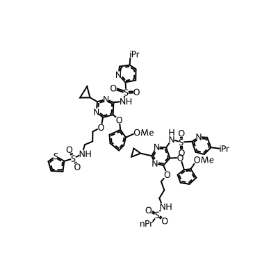 CCCS(=O)(=O)NCCCOc1nc(C2CC2)nc(NS(=O)(=O)c2ccc(C(C)C)cn2)c1Oc1ccccc1OC.COc1ccccc1Oc1c(NS(=O)(=O)c2ccc(C(C)C)cn2)nc(C2CC2)nc1OCCCNS(=O)(=O)c1cccs1